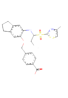 CCC(Nc1cc2c(cc1OCc1ccc(C(=O)O)cc1)CCC2)S(=O)(=O)c1nc(C)cs1